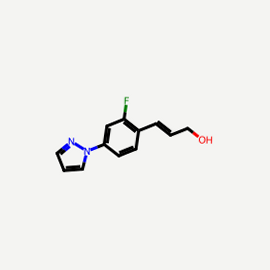 OC/C=C/c1ccc(-n2cccn2)cc1F